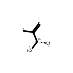 C=C(C)[C@@H](S)CC